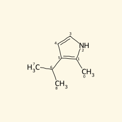 Cc1[nH]ccc1C(C)C